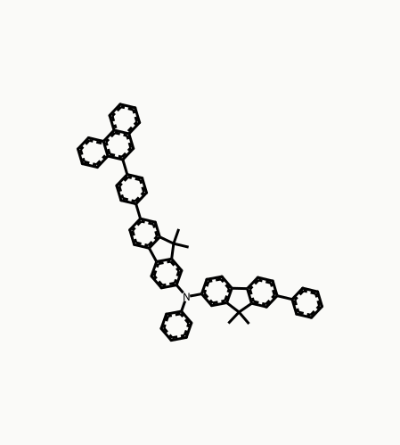 CC1(C)c2cc(-c3ccccc3)ccc2-c2ccc(N(c3ccccc3)c3ccc4c(c3)C(C)(C)c3cc(-c5ccc(-c6cc7ccccc7c7ccccc67)cc5)ccc3-4)cc21